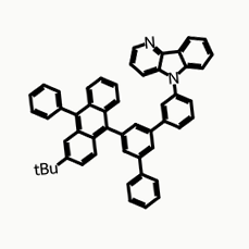 CC(C)(C)c1ccc2c(-c3cc(-c4ccccc4)cc(-c4cccc(-n5c6ccccc6c6ncccc65)c4)c3)c3ccccc3c(-c3ccccc3)c2c1